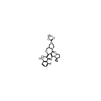 CC(C)(C)OC(=O)N1CCN2C(=O)c3c(N4CCCC45CC5)nc(-c4c(O)cccc4F)c(Cl)c3OCC2C1